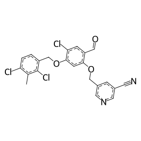 Cc1c(Cl)ccc(COc2cc(OCc3cncc(C#N)c3)c(C=O)cc2Cl)c1Cl